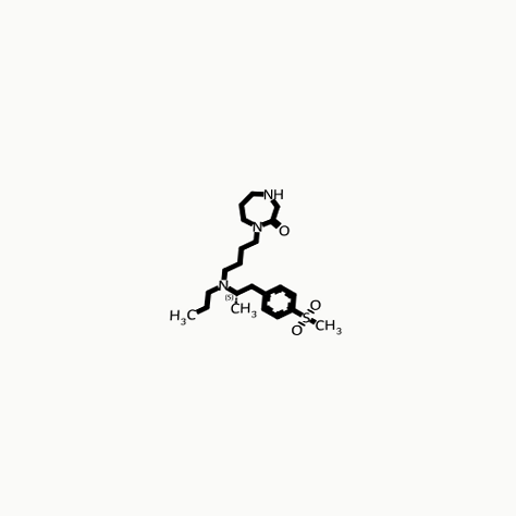 CCCN(CCCCN1CCCNCC1=O)[C@@H](C)Cc1ccc(S(C)(=O)=O)cc1